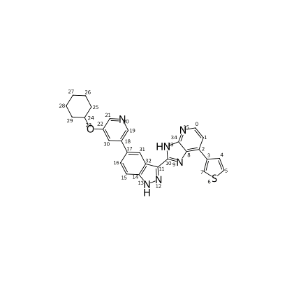 c1cc(-c2ccsc2)c2nc(-c3n[nH]c4ccc(-c5cncc(OC6CCCCC6)c5)cc34)[nH]c2n1